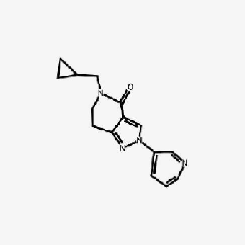 O=C1c2cn(-c3cccnc3)nc2CCN1CC1CC1